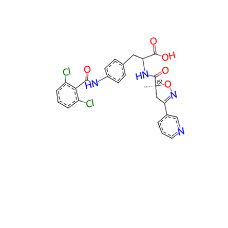 C[C@@]1(C(=O)NC(Cc2ccc(NC(=O)c3c(Cl)cccc3Cl)cc2)C(=O)O)CC(c2cccnc2)=NO1